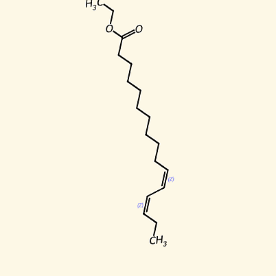 CC/C=C\C=C/CCCCCCCCCC(=O)OCC